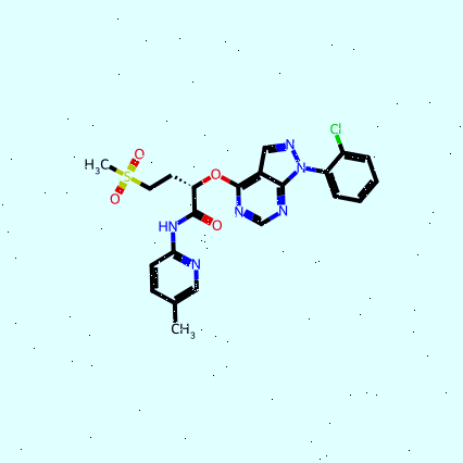 Cc1ccc(NC(=O)[C@H](CCS(C)(=O)=O)Oc2ncnc3c2cnn3-c2ccccc2Cl)nc1